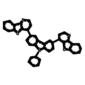 c1ccc(-n2c3ccc(-c4ccnc5c4oc4ccccc45)cc3c3cc(-c4ccnc5c4oc4ccccc45)ccc32)cc1